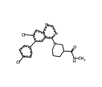 CNC(=O)C1CCCN(c2ncnc3cc(Cl)c(-c4ccc(Cl)cc4)cc23)C1